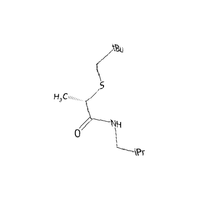 CC(C)CNC(=O)[C@H](C)SCC(C)(C)C